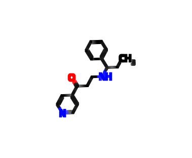 CCC(NCCC(=O)c1ccncc1)c1ccccc1